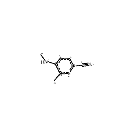 CNc1ccc(C#N)nc1C